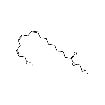 CC/C=C\C/C=C\C/C=C\CCCCCCCC(=O)OCN